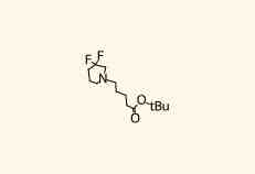 CC(C)(C)OC(=O)CCCCN1CCCC(F)(F)C1